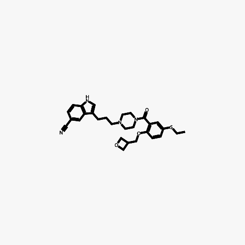 CCSc1ccc(OCC2COC2)c(C(=O)N2CCN(CCCc3c[nH]c4ccc(C#N)cc34)CC2)c1